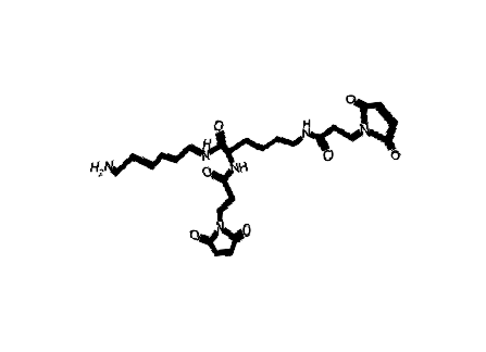 NCCCCCCNC(=O)C(CCCCNC(=O)CCN1C(=O)C=CC1=O)NC(=O)CCN1C(=O)C=CC1=O